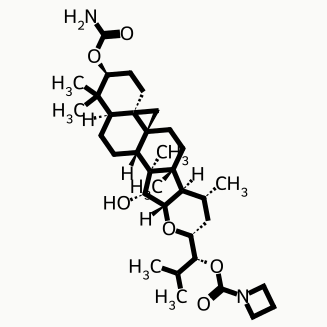 CC(C)[C@@H](OC(=O)N1CCC1)[C@H]1C[C@@H](C)[C@H]2[C@H](O1)[C@H](O)[C@@]1(C)[C@@H]3CC[C@H]4C(C)(C)[C@@H](OC(N)=O)CC[C@@]45C[C@@]35CC[C@]21C